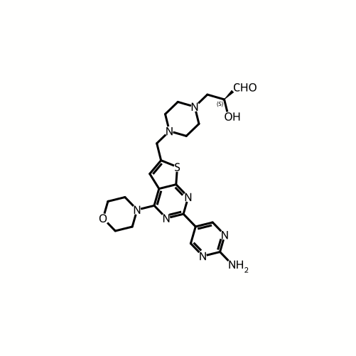 Nc1ncc(-c2nc(N3CCOCC3)c3cc(CN4CCN(C[C@H](O)C=O)CC4)sc3n2)cn1